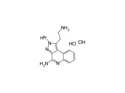 CCCn1nc2c(N)nc3ccccc3c2c1CCN.Cl.Cl